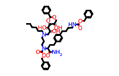 CCCCCCN(CCCN(C(=O)OCc1ccccc1)C(CCc1ccc(CCCCNC(=O)OCc2ccccc2)cc1)C(N)=O)C[C@H](O)[C@@H](O)[C@@H]1OC(c2ccccc2)OC[C@H]1O